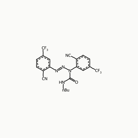 CCCCNC(=O)N(/N=N/c1cc(C(F)(F)F)ccc1C#N)c1cc(C(F)(F)F)ccc1C#N